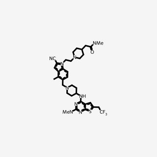 CNC(=O)CC1CCN(CCn2c(C#N)cc3c(C)c(CN4CCC(Nc5nc(NC)nc6sc(CC(F)(F)F)cc56)CC4)ccc32)CC1